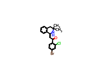 CC1(C)Cc2ccccc2C(=CC(=O)c2ccc(Br)cc2Cl)N1